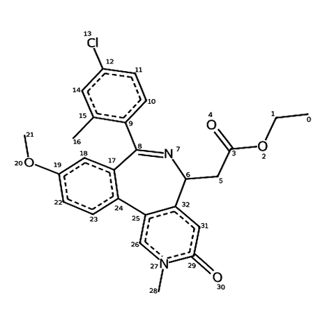 CCOC(=O)CC1N=C(c2ccc(Cl)cc2C)c2cc(OC)ccc2-c2cn(C)c(=O)cc21